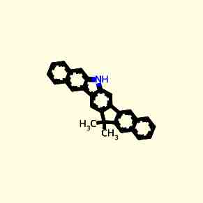 CC1(C)c2cc3ccccc3cc2-c2cc3[nH]c4cc5ccccc5cc4c3cc21